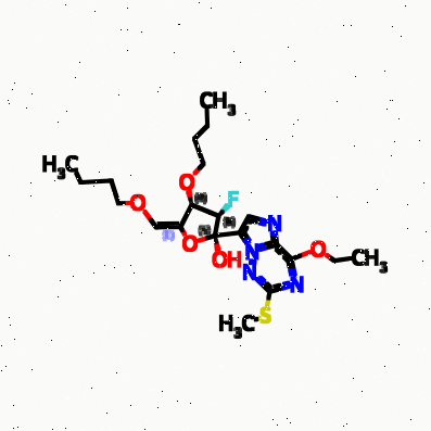 CCCCO/C=C1/O[C@@](O)(c2cnc3c(OCC)nc(SC)nn23)[C@H](F)[C@@H]1OCCCC